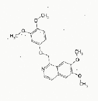 COc1ccc(OCc2nccc3cc(OC)c(OC)cc23)cc1OC